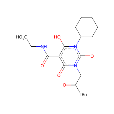 CC(C)(C)C(=O)Cn1c(=O)c(C(=O)NCC(=O)O)c(O)n(C2CCCCC2)c1=O